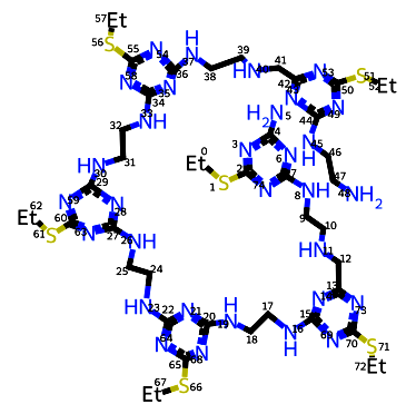 CCSc1nc(N)nc(NCCNCc2nc(NCCNc3nc(NCCNc4nc(NCCNc5nc(NCCNCc6nc(NCCN)nc(SCC)n6)nc(SCC)n5)nc(SCC)n4)nc(SCC)n3)nc(SCC)n2)n1